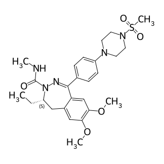 CC[C@H]1Cc2cc(OC)c(OC)cc2C(c2ccc(N3CCN(S(C)(=O)=O)CC3)cc2)=NN1C(=O)NC